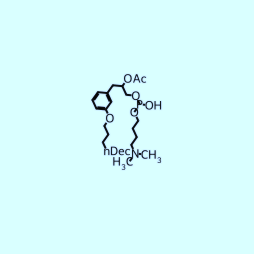 CCCCCCCCCCCCCOc1cccc(CC(COP(O)OCCCCN(C)C)OC(C)=O)c1